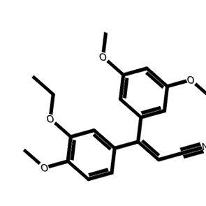 CCOc1cc(C(=CC#N)c2cc(OC)cc(OC)c2)ccc1OC